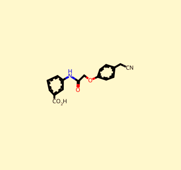 N#CCc1ccc(OCC(=O)Nc2cccc(C(=O)O)c2)cc1